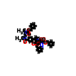 CN(CCN(C)C(=O)C1CC=C(c2ccn(S(=O)(=O)NC(=O)OCc3ccccc3)c2C(=O)OCc2ccccc2)CC1)C(=O)OCc1ccccc1